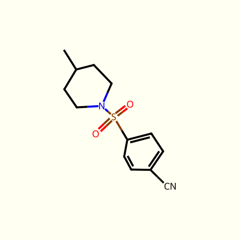 CC1CCN(S(=O)(=O)c2ccc(C#N)cc2)CC1